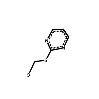 [O]CSc1ncccn1